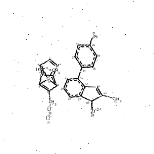 CC1=C2C3=CC=NC3=C1[Si]2(C)C.CC1=Cc2c(-c3ccc(C(C)C)cc3)cccc2[CH]1[Zr+2].[Cl-].[Cl-]